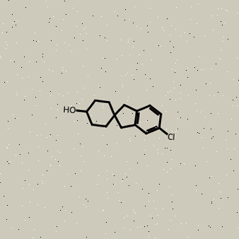 OC1CCC2(CC1)Cc1ccc(Cl)cc1C2